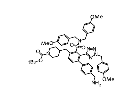 COc1ccc(CN(Cc2ccc(OC)cc2)S(=O)(=O)c2c(CC3CCN(C(=O)OC(C)(C)C)CC3)ccc(-c3ccc(CN)cc3)c2-c2nnn(Cc3ccc(OC)cc3)n2)cc1